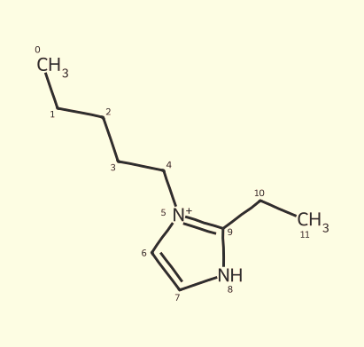 CCCCC[n+]1cc[nH]c1CC